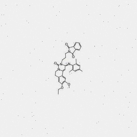 CCOc1cc2c(cc1OC)-c1c/c(=N\c3c(C)cc(C)cc3C)n(CCCN3C(=O)c4ccccc4C3=O)c(=O)n1CC2